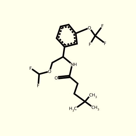 CC(C)(C)CCC(=O)NC(COC(F)F)c1cccc(OC(F)(F)F)c1